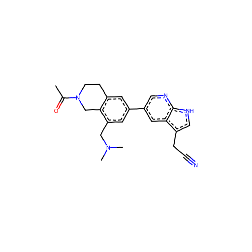 CC(=O)N1CCc2cc(-c3cnc4[nH]cc(CC#N)c4c3)cc(CN(C)C)c2C1